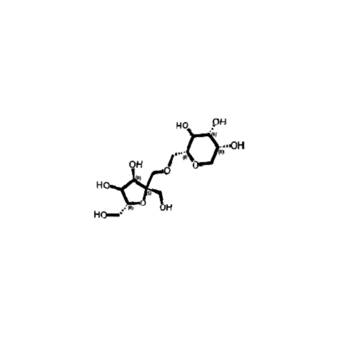 OC[C@H]1O[C@@](CO)(COC[C@H]2OC[C@@H](O)[C@@H](O)C2O)[C@H](O)C1O